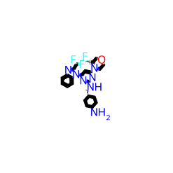 N[C@H]1CC[C@H](CNc2nc(N3CCOC[C@H]3CF)cc(-n3c(C(F)F)nc4ccccc43)n2)CC1